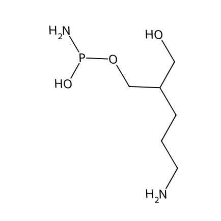 NCCCC(CO)COP(N)O